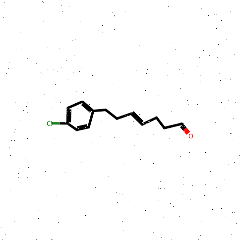 O=[C]CCC=CCCc1ccc(Cl)cc1